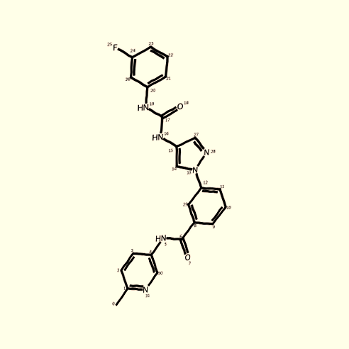 Cc1ccc(NC(=O)c2cccc(-n3cc(NC(=O)Nc4cccc(F)c4)cn3)c2)cn1